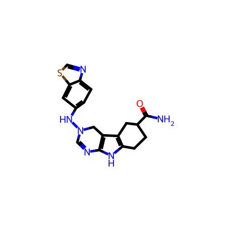 NC(=O)C1CCc2[nH]c3c(c2C1)CN(Nc1ccc2ncsc2c1)C=N3